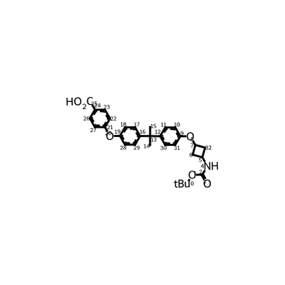 CC(C)(C)OC(=O)NC1CC(Oc2ccc(C(C)(C)c3ccc(Oc4ccc(C(=O)O)cc4)cc3)cc2)C1